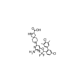 Cc1cc(-c2cc(Cl)ccc2C(Oc2cc(N3CCC4(CC3)CNC(C(=O)O)C4)nc(N)n2)C(F)(F)F)cc(C)c1Cl